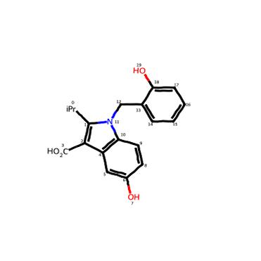 CC(C)c1c(C(=O)O)c2cc(O)ccc2n1Cc1ccccc1O